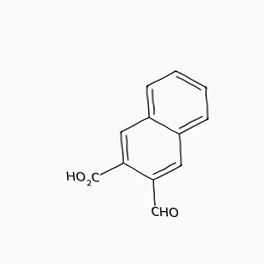 O=Cc1cc2ccccc2cc1C(=O)O